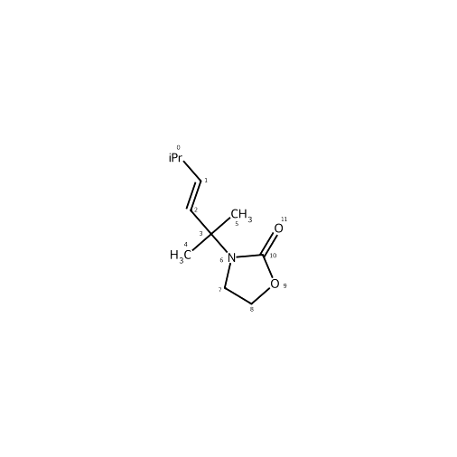 CC(C)/C=C/C(C)(C)N1CCOC1=O